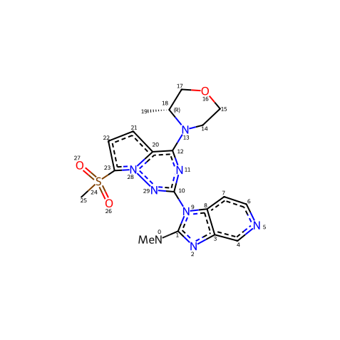 CNc1nc2cnccc2n1-c1nc(N2CCOC[C@H]2C)c2ccc(S(C)(=O)=O)n2n1